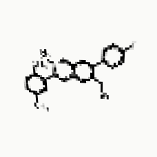 Cc1ccc(C)c(-c2cc3cc(CC(C)C)c(-c4ccc(F)cc4)cc3c[n+]2C)c1